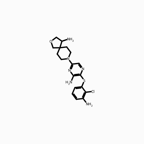 Nc1cccc(Sc2ncc(N3CCC4(CC3)COCC4N)nc2N)c1Cl